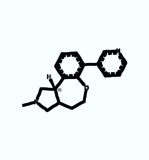 CN1CC2CCOc3c(-c4cccnc4)cccc3[C@H]2C1